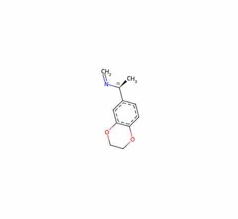 C=N[C@@H](C)c1ccc2c(c1)OCCO2